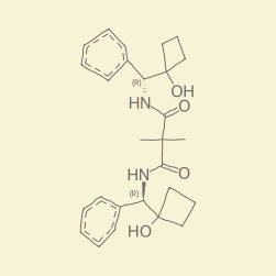 CC(C)(C(=O)N[C@H](c1ccccc1)C1(O)CCC1)C(=O)N[C@H](c1ccccc1)C1(O)CCC1